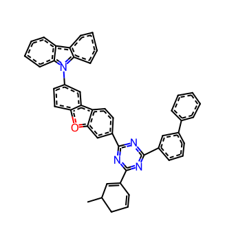 CC1C=C(c2nc(-c3cccc(-c4ccccc4)c3)nc(-c3ccc4c(c3)oc3ccc(-n5c6ccccc6c6ccccc65)cc34)n2)C=CC1